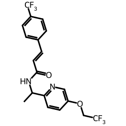 CC(NC(=O)C=Cc1ccc(C(F)(F)F)cc1)c1ccc(OCC(F)(F)F)cn1